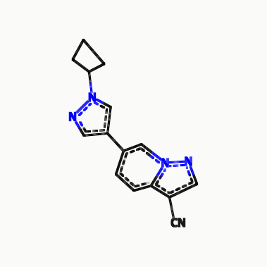 N#Cc1cnn2cc(-c3cnn(C4CCC4)c3)ccc12